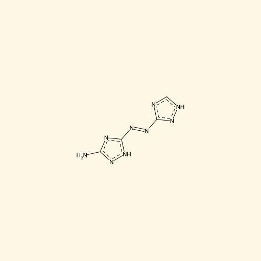 Nc1n[nH]c(N=Nc2nc[nH]n2)n1